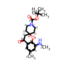 CNc1cc(C)cc2c1OC1(CCN(C(=O)OC(C)(C)C)CC1)CC2=O